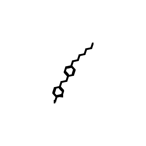 CCCCCCCc1ccc(CCc2ccc(F)nc2)cc1